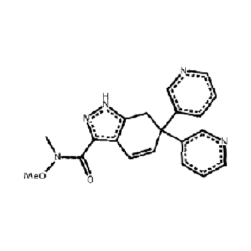 CON(C)C(=O)c1n[nH]c2c1C=CC(c1cccnc1)(c1cccnc1)C2